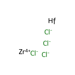 [Cl-].[Cl-].[Cl-].[Cl-].[Hf].[Zr+4]